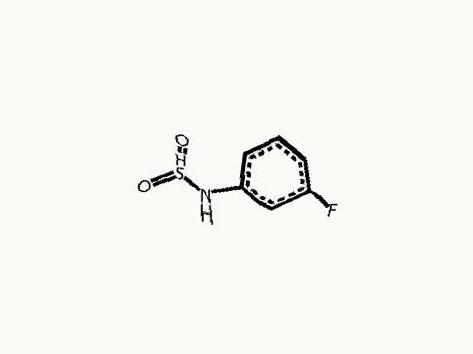 O=[SH](=O)Nc1cccc(F)c1